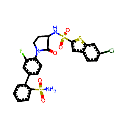 NS(=O)(=O)c1ccccc1-c1ccc(N2CCC(NS(=O)(=O)c3cc4ccc(Cl)cc4s3)C2=O)c(F)c1